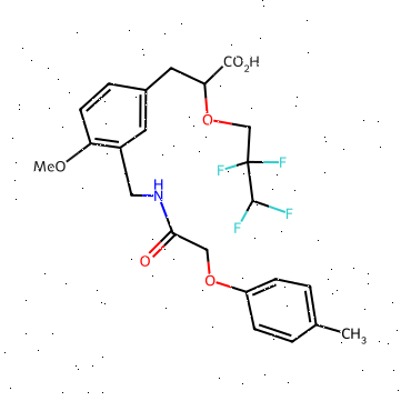 COc1ccc(CC(OCC(F)(F)C(F)F)C(=O)O)cc1CNC(=O)COc1ccc(C)cc1